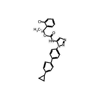 C[C@@H](OC(=O)Nc1cnnn1-c1ccc(-c2ccc(C3CC3)cc2)cc1)c1ccccc1Cl